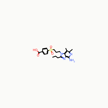 CCCc1nc2c(N)nc(C)c(C)c2n1CCCS(=O)(=O)c1ccc(C(=O)O)cc1